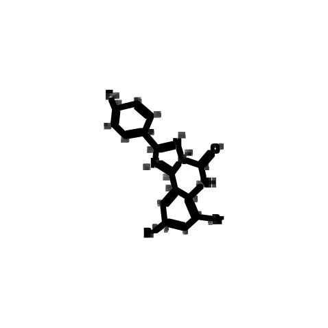 O=c1[nH]c2c(Br)cc(Br)cc2c2nc(-c3ccc(F)cc3)nn12